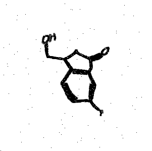 O=C1CC(CO)c2ccc(F)cc21